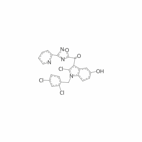 O=C(c1nc(-c2ccccn2)no1)c1c(Cl)n(Cc2ccc(Cl)cc2Cl)c2ccc(O)cc12